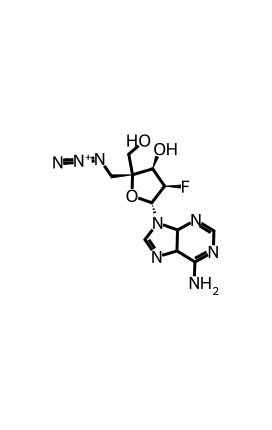 [N-]=[N+]=NC[C@]1(CO)O[C@@H](N2C=NC3C(N)=NC=NC32)[C@H](F)[C@@H]1O